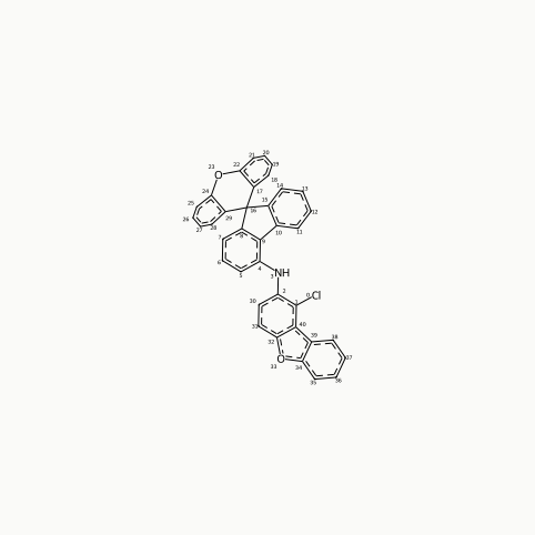 Clc1c(Nc2cccc3c2-c2ccccc2C32c3ccccc3Oc3ccccc32)ccc2oc3ccccc3c12